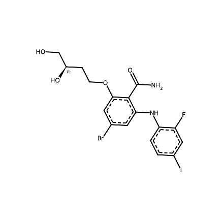 NC(=O)c1c(Nc2ccc(I)cc2F)cc(Br)cc1OCC[C@@H](O)CO